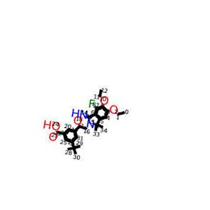 CCOc1cc2c(c(F)c1OCC)C(=N)N(CC(=O)c1cc(C(=O)O)cc(C(C)(C)C)c1)C2(C)C